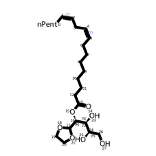 CCCCC/C=C\C/C=C\CCCCCCCC(=O)O[C@@H](C1OCCO1)[C@@H](O)[C@H](O)CO